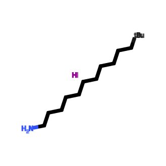 CC(C)(C)CCCCCCCCCCCN.I